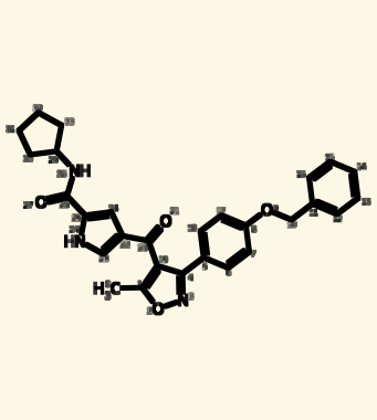 Cc1onc(-c2ccc(OCc3ccccc3)cc2)c1C(=O)c1c[nH]c(C(=O)NC2CCCC2)c1